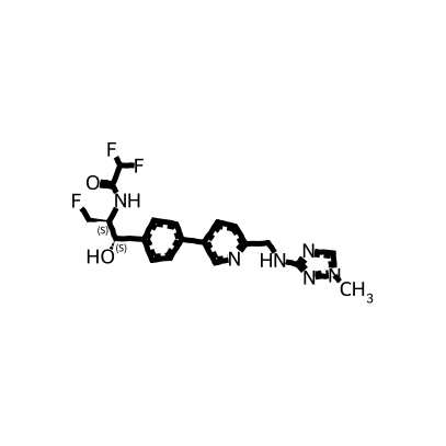 Cn1cnc(NCc2ccc(-c3ccc([C@H](O)[C@@H](CF)NC(=O)C(F)F)cc3)cn2)n1